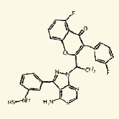 CC(c1oc2cccc(F)c2c(=O)c1-c1cccc(F)c1)n1nc(-c2cccc(NS)c2)c2c(N)ncnc21